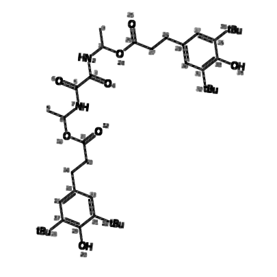 CC(NC(=O)C(=O)NC(C)OC(=O)CCc1cc(C(C)(C)C)c(O)c(C(C)(C)C)c1)OC(=O)CCc1cc(C(C)(C)C)c(O)c(C(C)(C)C)c1